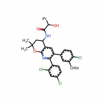 COc1cc(-c2cc3c(nc2-c2ccc(Cl)cc2Cl)OC(C)(C)CC3NC(=O)C(O)C(C)C)ccc1Cl